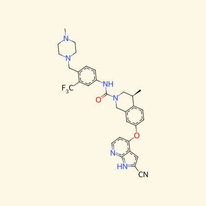 C[C@@H]1CN(C(=O)Nc2ccc(CN3CCN(C)CC3)c(C(F)(F)F)c2)Cc2cc(Oc3ccnc4[nH]c(C#N)cc34)ccc21